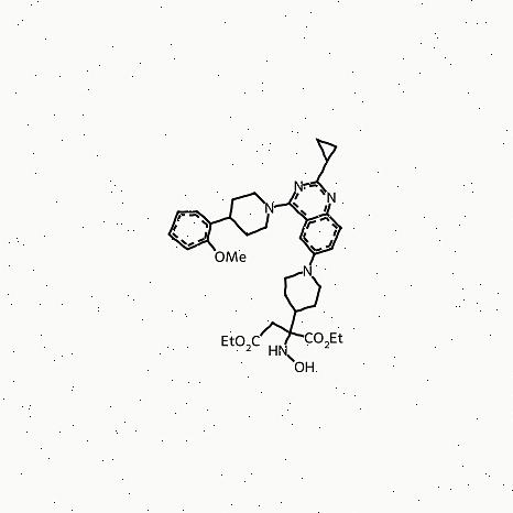 CCOC(=O)CC(NO)(C(=O)OCC)C1CCN(c2ccc3nc(C4CC4)nc(N4CCC(c5ccccc5OC)CC4)c3c2)CC1